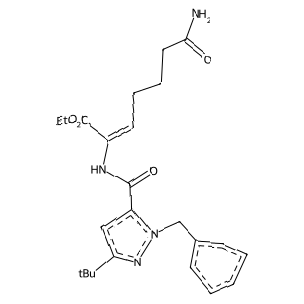 CCOC(=O)C(=CCCCC(N)=O)NC(=O)c1cc(C(C)(C)C)nn1Cc1ccccc1